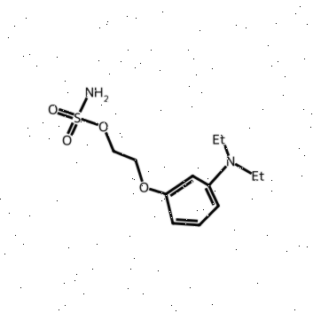 CCN(CC)c1cccc(OCCOS(N)(=O)=O)c1